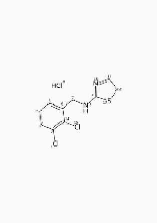 Cl.Clc1cccc(CNC2N=CCS2)c1Cl